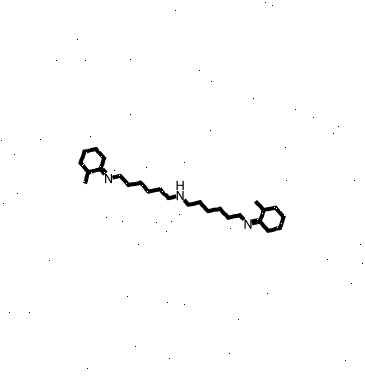 CC1CCCCC1=NCCCCCCNCCCCCCN=C1CCCCC1C